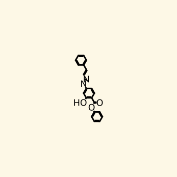 O=C(Oc1ccccc1)c1ccc(N=NC=Cc2ccccc2)cc1O